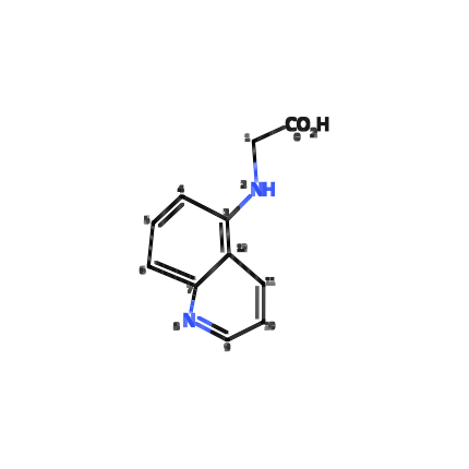 O=C(O)CNc1cccc2ncccc12